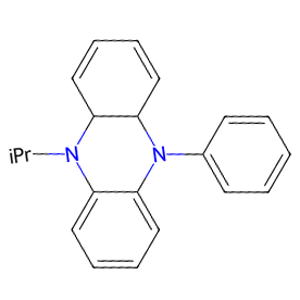 CC(C)N1c2ccccc2N(c2ccccc2)C2C=CC=CC21